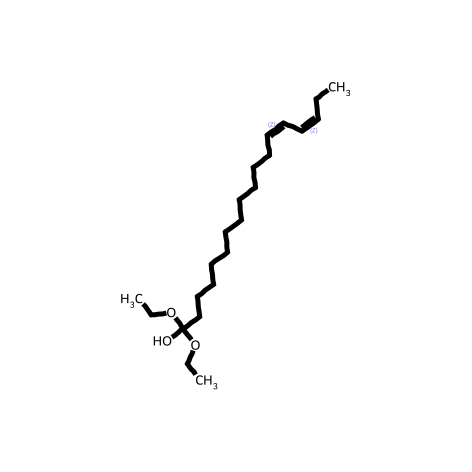 CC/C=C\C=C/CCCCCCCCCCCC(O)(OCC)OCC